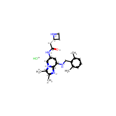 Cc1cccc(C)c1CNc1cc(NC(=O)C[C@H]2CCN2)cn2c(C)c(C)nc12.Cl